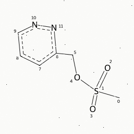 CS(=O)(=O)OCc1cccnn1